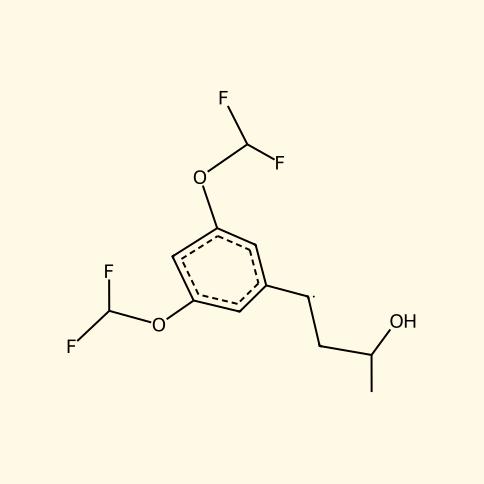 CC(O)C[CH]c1cc(OC(F)F)cc(OC(F)F)c1